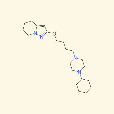 c1c(OCCCCN2CCN(C3CCCCC3)CC2)nn2c1CCCC2